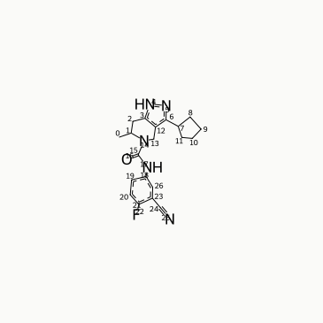 CC1Cc2[nH]nc(C3CCCC3)c2CN1C(=O)Nc1ccc(F)c(C#N)c1